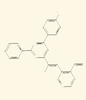 C=Cc1ccncc1/C=C(\C)c1cc(-c2ccc(Cl)cc2)nc(-c2ccccc2)n1